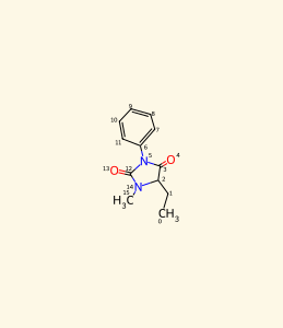 CCC1C(=O)N(c2ccccc2)C(=O)N1C